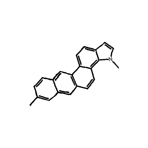 Cc1ccc2cc3c(ccc4c3ccc3ccn(C)c34)cc2c1